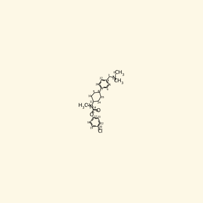 CN(C)Cc1ccc(C2CCC(N(C)C(=O)Oc3ccc(Cl)cc3)CC2)cc1